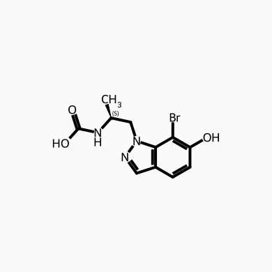 C[C@@H](Cn1ncc2ccc(O)c(Br)c21)NC(=O)O